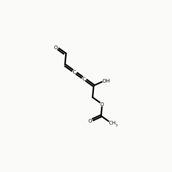 CC(=O)OCC(O)=C=C=CC=O